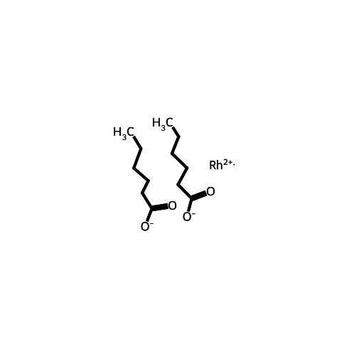 CCCCCC(=O)[O-].CCCCCC(=O)[O-].[Rh+2]